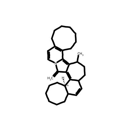 C=c1c2c(c3c4c(ccn13)CCCCCCC4)C(C)CCC1C=CC3CCCCCC[C@H]3C=21